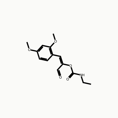 CCNC(=O)O/C(C=O)=C/c1ccc(OC)cc1OC